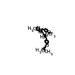 Cc1cnc2c(c1)nc(CCC(=O)NCc1ccc(OCCCN(C)C)cc1)n2CC1=CCC(OC(F)(F)F)C=C1